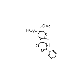 CC(=O)OCC1(C(=O)O)CS[C@@H]2C(NC(=O)c3ccccc3)C(=O)N2C1